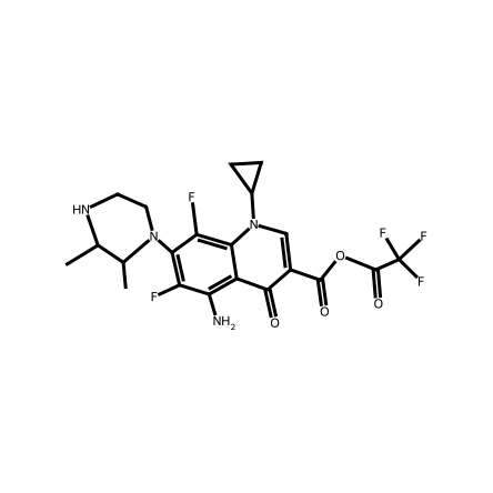 CC1NCCN(c2c(F)c(N)c3c(=O)c(C(=O)OC(=O)C(F)(F)F)cn(C4CC4)c3c2F)C1C